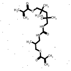 C=C(C)C(=O)OCC(C)CNC(=O)NCC(C)(C)CC(C)(C)COC(=O)C(=C)C